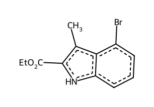 CCOC(=O)c1[nH]c2cccc(Br)c2c1C